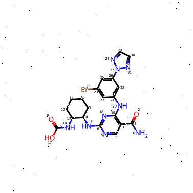 NC(=O)c1cnc(N[C@@H]2CCCC[C@@H]2NC(=O)O)nc1Nc1cc(Br)cc(-n2nccn2)c1